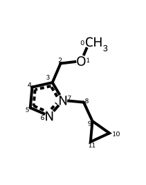 COCc1ccnn1CC1CC1